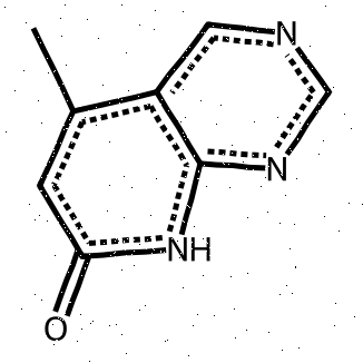 Cc1cc(=O)[nH]c2ncncc12